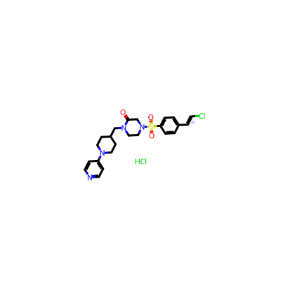 Cl.O=C1CN(S(=O)(=O)c2ccc(/C=C/Cl)cc2)CCN1CC1CCN(c2ccncc2)CC1